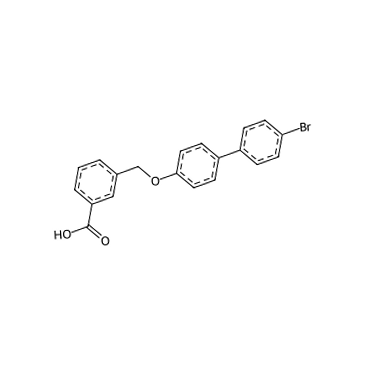 O=C(O)c1cccc(COc2ccc(-c3ccc(Br)cc3)cc2)c1